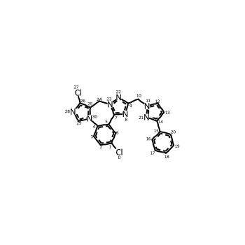 Clc1ccc2c(c1)-c1nc(Cn3ccc(-c4ccccc4)n3)nn1Cc1c(Cl)ncn1-2